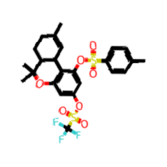 CC1=CC2c3c(cc(OS(=O)(=O)C(F)(F)F)cc3OS(=O)(=O)c3ccc(C)cc3)OC(C)(C)C2CC1